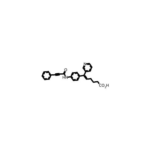 O=C(O)CCCC=C(c1ccc(NC(=O)C#Cc2ccccc2)cc1)c1cccnc1